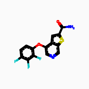 NC(=O)c1cc2c(Oc3ccc(F)c(F)c3F)cncc2s1